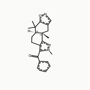 Cn1nc2c(c1C(=O)c1ccccc1)CC[C@H]1C(C)(C)c3oncc3C[C@]21C